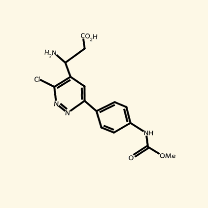 COC(=O)Nc1ccc(-c2cc(C(N)CC(=O)O)c(Cl)nn2)cc1